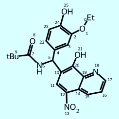 CCOc1cc(C(NC(=O)C(C)(C)C)c2cc([N+](=O)[O-])c3cccnc3c2O)ccc1O